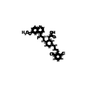 COc1ccc2nccc([C@@H](F)CC[C@@H]3CCN(CCSc4c(Cl)cccc4Cl)C[C@@H]3CC(=O)O)c2c1